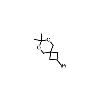 CC(C)C1CC2(COC(C)(C)OC2)C1